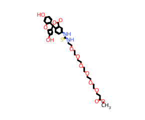 COC(=O)CCOCCOCCOCCOCCOCCOCCNC(=S)Nc1ccc2c(c1)C(=O)OC21c2ccc(O)cc2Oc2cc(O)ccc21